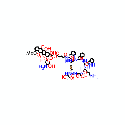 COc1cccc2c1C(=O)c1c(O)c3c(c(O)c1C2=O)C[C@@](O)(C(=O)COC(=O)CCCC(=O)N[C@H](Cc1ccccc1)C(=O)N[C@H]1CSSC[C@@H](C(=O)N[C@H](CO)[C@@H](C)O)NC(=O)[C@H]([C@@H](C)O)NC(=O)[C@H](CCCCN)NC(=O)[C@@H](Cc2c[nH]c4ccccc24)NC(=O)[C@H](Cc2ccccc2)NC1=O)C[C@@H]3O[C@H]1C[C@H](N)[C@H](O)[C@H](C)O1